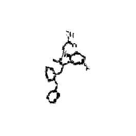 Cc1c(Cc2ccccc2Cc2ccccc2)c2cc(F)ccc2n1CC(=O)O